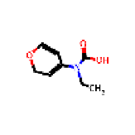 CCN(C(=O)O)C1=CCOC=C1